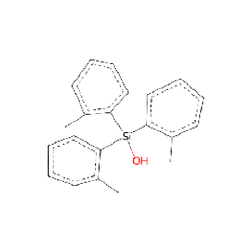 Cc1ccccc1[Si](O)(c1ccccc1C)c1ccccc1C